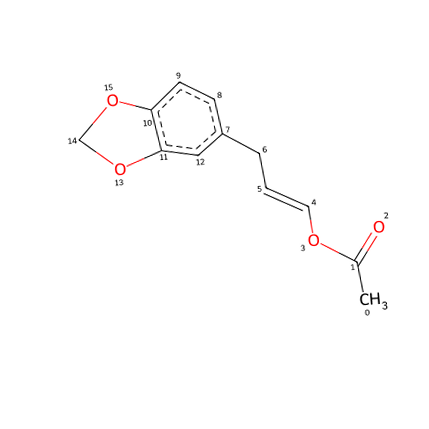 CC(=O)OC=CCc1ccc2c(c1)OCO2